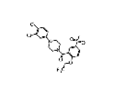 CS(=O)(=O)c1ccc(OCC(F)(F)F)c(C(=O)N2CCN(c3ccc(Cl)c(Cl)c3)CC2)c1